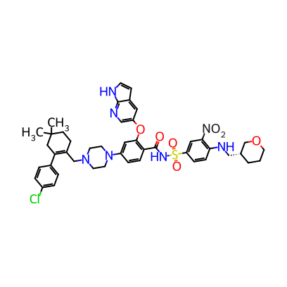 CC1(C)CCC(CN2CCN(c3ccc(C(=O)NS(=O)(=O)c4ccc(NC[C@H]5CCCOC5)c([N+](=O)[O-])c4)c(Oc4cnc5[nH]ccc5c4)c3)CC2)=C(c2ccc(Cl)cc2)C1